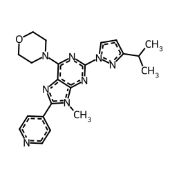 CC(C)c1ccn(-c2nc(N3CCOCC3)c3nc(-c4ccncc4)n(C)c3n2)n1